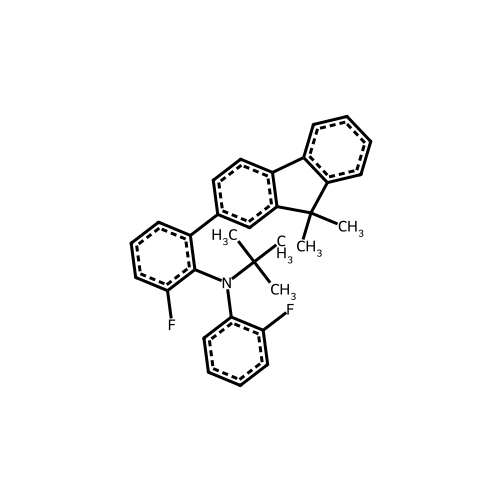 CC1(C)c2ccccc2-c2ccc(-c3cccc(F)c3N(c3ccccc3F)C(C)(C)C)cc21